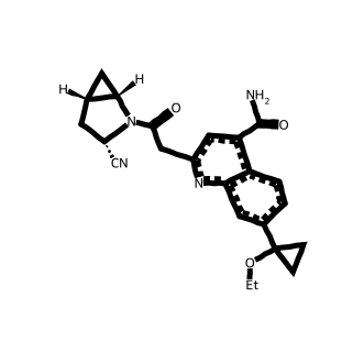 CCOC1(c2ccc3c(C(N)=O)cc(CC(=O)N4[C@H](C#N)C[C@@H]5C[C@@H]54)nc3c2)CC1